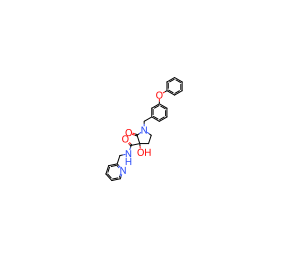 O=C(NCc1ccccn1)C1(O)CCN(Cc2cccc(Oc3ccccc3)c2)C1=O